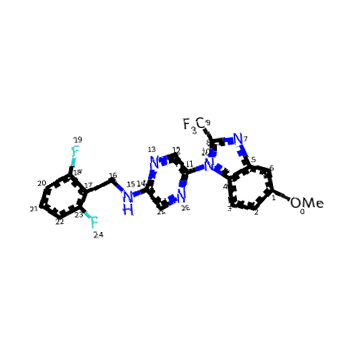 COc1ccc2c(c1)nc(C(F)(F)F)n2-c1cnc(NCc2c(F)cccc2F)cn1